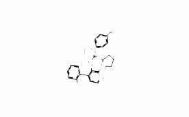 CC(C)c1ccc(NC(=O)Nc2c(-c3ccccc3F)ccnc2N2CCCC2)cc1